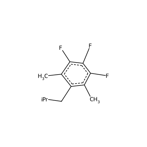 Cc1c(F)c(F)c(F)c(C)c1CC(C)C